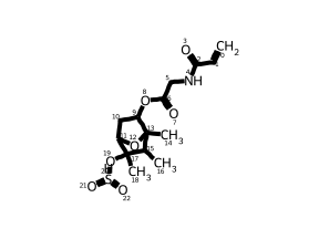 C=CC(=O)NCC(=O)OC1CC2OC1(C)C(C)C2(C)O[SH](=O)=O